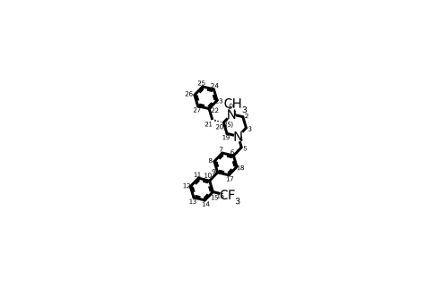 CN1CCN(Cc2ccc(-c3ccccc3C(F)(F)F)cc2)C[C@@H]1Cc1ccccc1